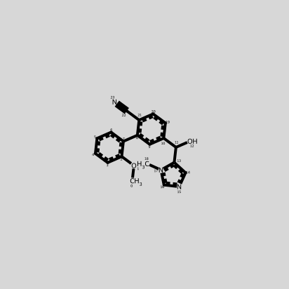 COc1ccccc1-c1cc(C(O)c2cncn2C)ccc1C#N